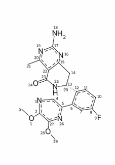 COc1ncc(-c2cc(F)ccc2[C@H]2Cc3nc(N)nc(C)c3C(=O)N2)nc1OC